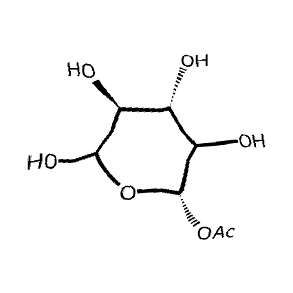 CC(=O)O[C@@H]1OC(O)[C@@H](O)[C@H](O)C1O